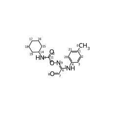 Cc1ccc(NC(C=O)=NOC(=O)NC2CCCCC2)cc1